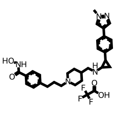 Cn1cc(-c2ccc(C3CC3NCC3CCN(CCCc4ccc(C(=O)NO)cc4)CC3)cc2)cn1.O=C(O)C(F)(F)F